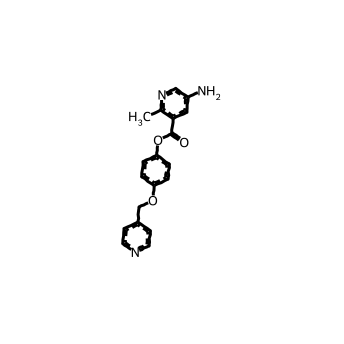 Cc1ncc(N)cc1C(=O)Oc1ccc(OCc2ccncc2)cc1